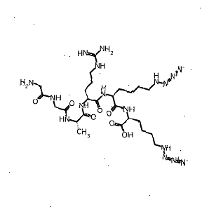 C[C@H](NC(=O)CNC(=O)CN)C(=O)N[C@@H](CCCNC(=N)N)C(=O)N[C@@H](CCCCNN=[N+]=[N-])C(=O)N[C@@H](CCCCNN=[N+]=[N-])C(=O)O